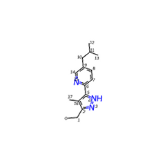 CCc1n[nH]c(-c2ccc(CC(C)C)cn2)c1C